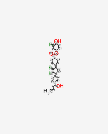 CCCC(O)c1ccc(-c2ccc(C3CCC(C(=O)Oc4ccc(O)c(F)c4)CC3)c(F)c2F)cc1